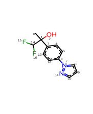 CC(O)(c1ccc(-n2cccn2)cc1)C(F)F